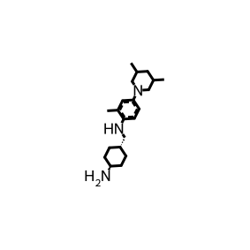 Cc1cc(N2CC(C)CC(C)C2)ccc1NC[C@H]1CC[C@H](N)CC1